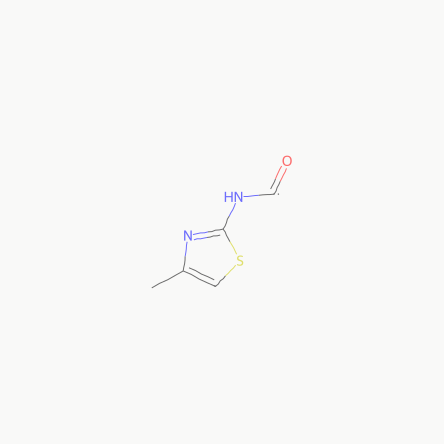 Cc1csc(N[C]=O)n1